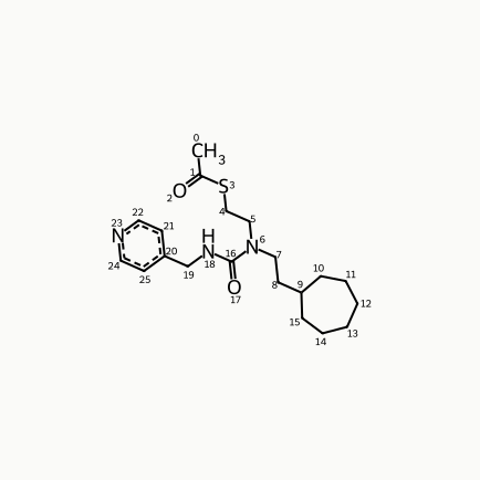 CC(=O)SCCN(CCC1CCCCCC1)C(=O)NCc1ccncc1